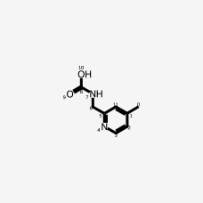 Cc1ccnc(CNC(=O)O)c1